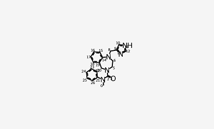 CN(C(=O)N1CCN(Cc2c[nH]cn2)c2ccccc2C1)c1ccccc1